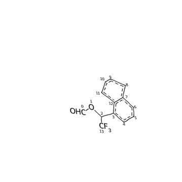 O=COC(c1cccc2ccccc12)C(F)(F)F